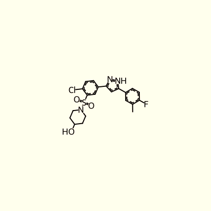 Cc1cc(-c2cc(-c3ccc(Cl)c(S(=O)(=O)N4CCC(O)CC4)c3)n[nH]2)ccc1F